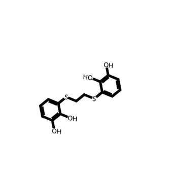 Oc1cccc(SCCSc2cccc(O)c2O)c1O